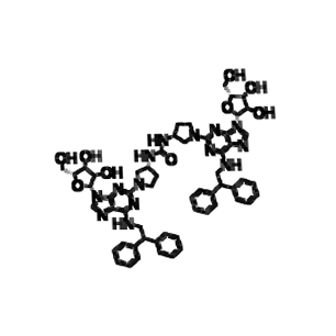 O=C(N[C@@H]1CCN(c2nc(NCC(c3ccccc3)c3ccccc3)c3ncn([C@@H]4O[C@H](CO)[C@@H](O)[C@H]4O)c3n2)C1)N[C@H]1CCN(c2nc(NCC(c3ccccc3)c3ccccc3)c3ncn([C@@H]4O[C@H](CO)[C@@H](O)[C@H]4O)c3n2)C1